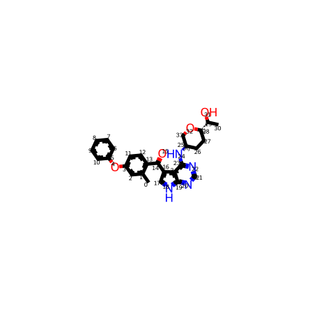 Cc1cc(Oc2ccccc2)ccc1C(=O)c1c[nH]c2ncnc(N[C@@H]3CC[C@@H](C(C)O)OC3)c12